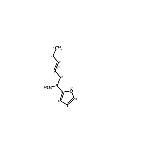 CC/C=C/CC(O)c1ccco1